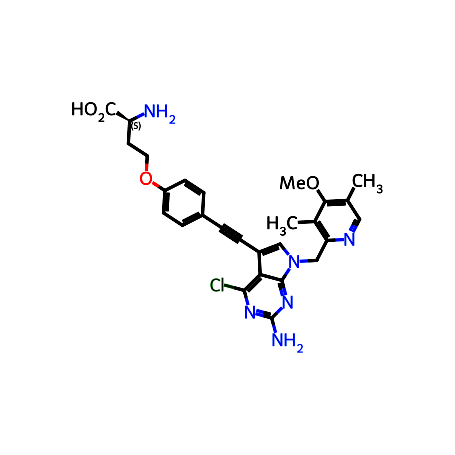 COc1c(C)cnc(Cn2cc(C#Cc3ccc(OCC[C@H](N)C(=O)O)cc3)c3c(Cl)nc(N)nc32)c1C